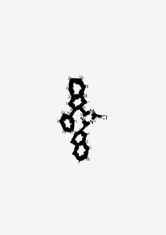 Clc1nc(-c2ccc3ccccc3c2)nc(-c2cc3ccccc3cc2-c2ccccc2)n1